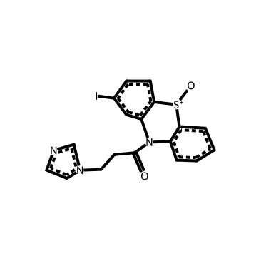 O=C(CCn1ccnc1)N1c2ccccc2[S+]([O-])c2ccc(I)cc21